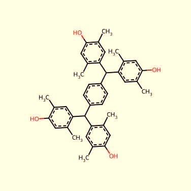 Cc1cc(C(c2ccc(C(c3cc(C)c(O)cc3C)c3cc(C)c(O)cc3C)cc2)c2cc(C)c(O)cc2C)c(C)cc1O